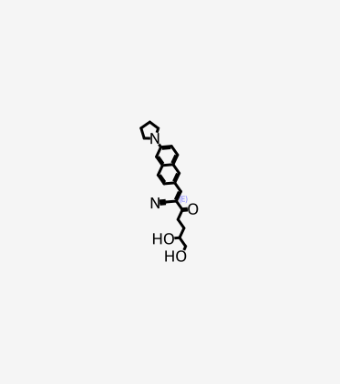 N#C/C(=C\c1ccc2cc(N3CCCC3)ccc2c1)C(=O)CCC(O)CO